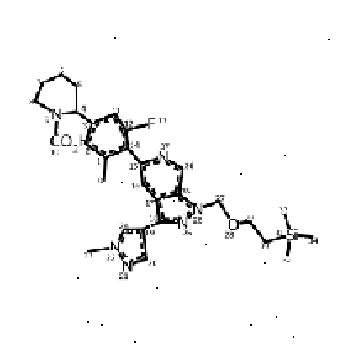 Cc1cc(C2CCCCN2C(=O)O)cc(F)c1-c1cc2c(-c3cnn(C)c3)nn(COCC[Si](C)(C)C)c2cn1